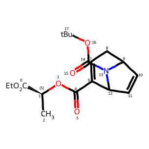 CCOC(=O)[C@H](C)OC(=O)C1=CCC2C=CC1N2C(=O)OC(C)(C)C